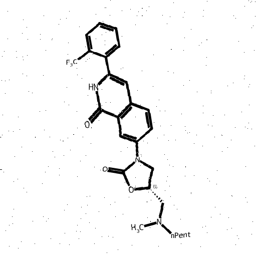 CCCCCN(C)C[C@H]1CN(c2ccc3cc(-c4ccccc4C(F)(F)F)[nH]c(=O)c3c2)C(=O)O1